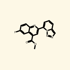 COC(=O)c1cc(-c2cccc3cnnn23)nc2ccc(F)cc12